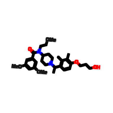 COCCN(C(=O)c1cc(OC)cc(OC)c1)C1CCN(C(C)c2ccc(OCCCO)c(C)c2C)CC1